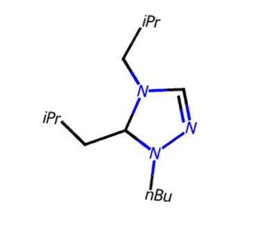 CCCCN1N=CN(CC(C)C)C1CC(C)C